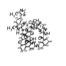 Cc1ncsc1-c1ccc([C@H](C)NC(=O)[C@@H]2C[C@@H](O)CN2C[C@@H](NC(=O)C[C@H]2CC[C@H](Oc3cccc(-c4ccc(N5CCc6cccc(C(=O)Nc7nc8ccccc8s7)c6C5)nc4C(=O)O)c3C)CC2)C(C)(C)C)cc1